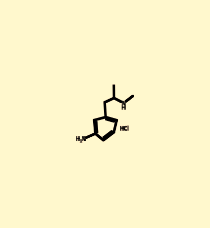 CNC(C)Cc1cccc(N)c1.Cl